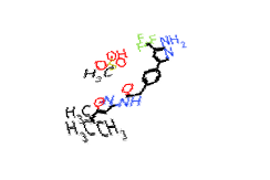 CC(C)(C)c1cc(NC(=O)Cc2ccc(-c3cnc(N)c(C(F)(F)F)c3)cc2)no1.CS(=O)(=O)O